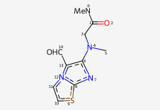 CNC(=O)CN(C)c1nc2sccn2c1C=O